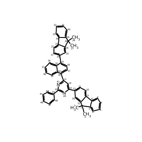 CC1(C)c2ccccc2-c2ccc(-c3cc(-c4ccc(-c5ccc6c(c5)C(C)(C)c5ccccc5-6)c5ccccc45)nc(-c4ccccc4)n3)cc21